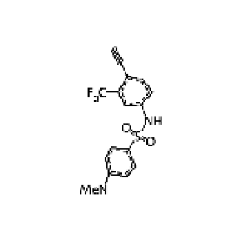 C#Cc1ccc(NS(=O)(=O)c2ccc(NC)cc2)cc1C(F)(F)F